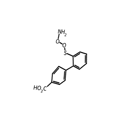 NOOSc1ccccc1-c1ccc(C(=O)O)cc1